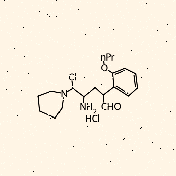 CCCOc1ccccc1C(C=O)CC(N)C(Cl)N1CCCCC1.Cl